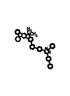 CC1(C)C2=CC3c4ccccc4C4(CCCCC4)C3C=C2c2cc(-c3cccc(-c4ccc(-c5cc(-c6ccc(-c7ccccc7)cc6)nc(-c6ccccc6)n5)cc4)c3)ccc21